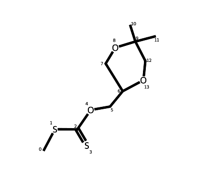 CSC(=S)OCC1COC(C)(C)CO1